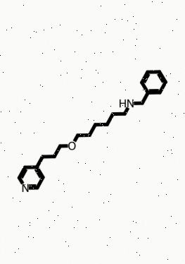 c1ccc(CNCCCCCCOCCCc2ccncc2)cc1